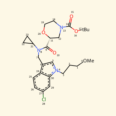 COCCCn1cc(CN(C(=O)[C@H]2CN(C(=O)OC(C)(C)C)CCO2)C2CC2)c2ccc(Cl)cc21